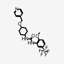 COc1ccc(S(F)(F)(F)(F)F)cc1NC(=O)NC1CCC(OCc2ccncc2)CC1